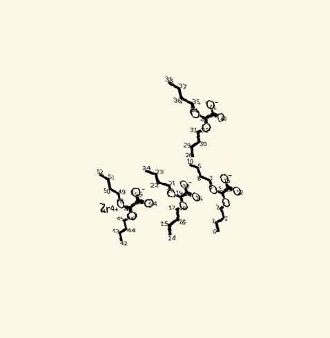 CCCCOC(OCCCC)C(=O)[O-].CCCCOC(OCCCC)C(=O)[O-].CCCCOC(OCCCC)C(=O)[O-].CCCCOC(OCCCC)C(=O)[O-].[Zr+4]